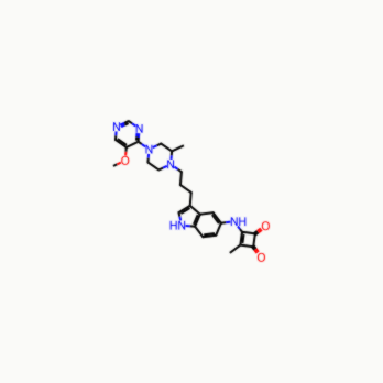 COc1cncnc1N1CCN(CCCc2c[nH]c3ccc(Nc4c(C)c(=O)c4=O)cc23)C(C)C1